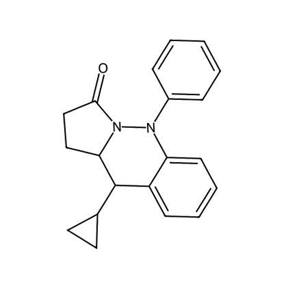 O=C1CCC2C(C3CC3)c3ccccc3N(c3ccccc3)N12